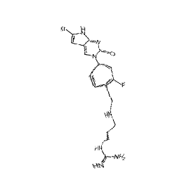 CCc1cc2cn(-c3ccc(CNCCCNC(=N)N)c(F)c3)c(=O)nc2[nH]1